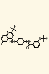 Cc1ccc2nc(C(C)(C)F)cc(NC3CCC(NC(=O)c4cccc(SC(C)(C)F)c4)CC3)c2c1